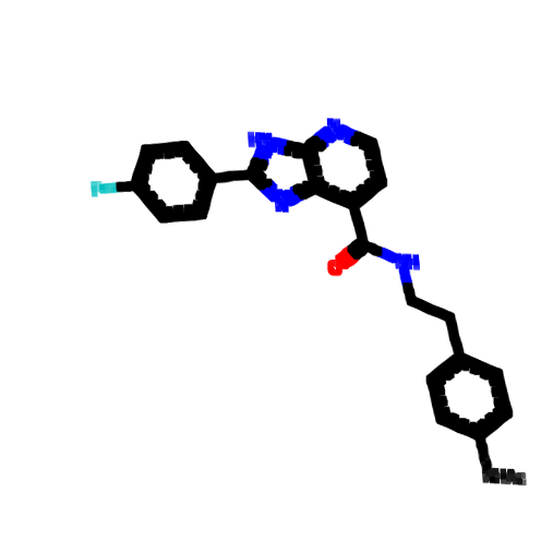 CC(=O)Nc1ccc(CCNC(=O)c2ccnc3[nH]c(-c4ccc(F)cc4)nc23)cc1